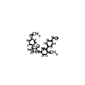 COc1ccc(C2(C(=O)Nc3ccc(C)c(-c4ccc(C=O)cc4)n3)CC2)cc1